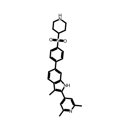 Cc1cc(-c2[nH]c3cc(-c4ccc(S(=O)(=O)C5CCNCC5)cc4)ccc3c2C)cc(C)n1